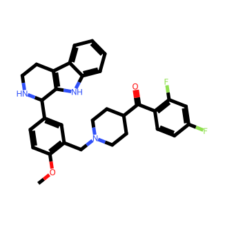 COc1ccc(C2NCCc3c2[nH]c2ccccc32)cc1CN1CCC(C(=O)c2ccc(F)cc2F)CC1